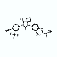 C[C@H](O)[C@@H]1COc2cc(N3C(=S)N(c4ccc(C#N)c(C(F)(F)F)c4)C(=O)C34CCC4)ccc2O1